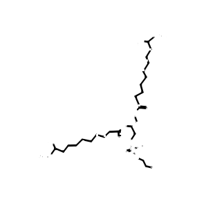 CCCCCCCCCC(C)CCCCCCCCC(=O)OC[C@H](COP(=O)(O)OCCN)OC(=O)CCCCCCCCC(C)CCCCCCCCC